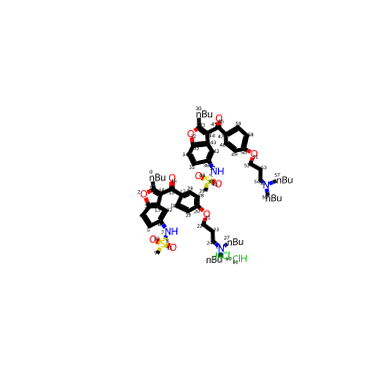 CCCCc1oc2ccc(NS(C)(=O)=O)cc2c1C(=O)c1ccc(OCCCN(CCCC)CCCC)cc1.CCCCc1oc2ccc(NS(C)(=O)=O)cc2c1C(=O)c1ccc(OCCCN(CCCC)CCCC)cc1.Cl.Cl